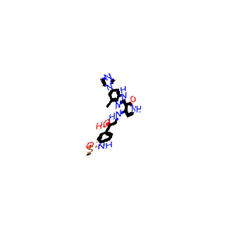 Cc1cc(-n2ccnc2)cc2[nH]c(-c3c(NCC(O)c4ccc(N[S+](C)[O-])cc4)cc[nH]c3=O)nc12